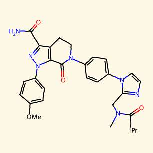 COc1ccc(-n2nc(C(N)=O)c3c2C(=O)N(c2ccc(-n4ccnc4CN(C)C(=O)C(C)C)cc2)CC3)cc1